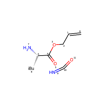 C=CCOC(=O)[C@@H](N)[C@@H](C)CC.N=C=O